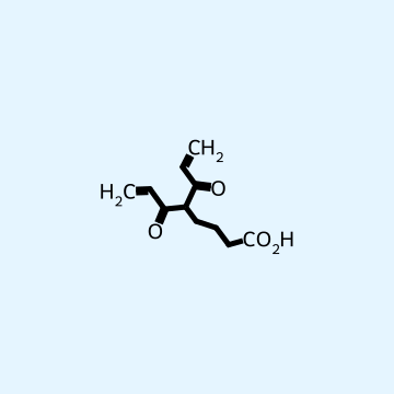 C=CC(=O)C(CCCC(=O)O)C(=O)C=C